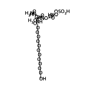 C[C@H](NC(=O)CCOCCOCCOCCOCCOCCOCCOCCOCCOCCOCCOCCCO)C(=O)C[C@@H](CCCNC(N)=O)C(=O)Nc1ccc(COC(=O)Nc2cccc3c(S(=O)(=O)O)cccc23)cc1